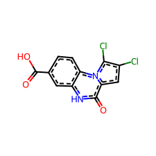 O=C(O)c1ccc2c(c1)[nH]c(=O)c1cc(Cl)c(Cl)n12